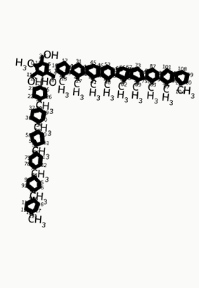 Cc1c(CO)cc(CO)cc1CO.Cc1ccccc1.Cc1ccccc1.Cc1ccccc1.Cc1ccccc1.Cc1ccccc1.Cc1ccccc1.Cc1ccccc1.Cc1ccccc1.Cc1ccccc1.Cc1ccccc1.Cc1ccccc1.Cc1ccccc1.Cc1ccccc1.Cc1ccccc1.Cc1ccccc1